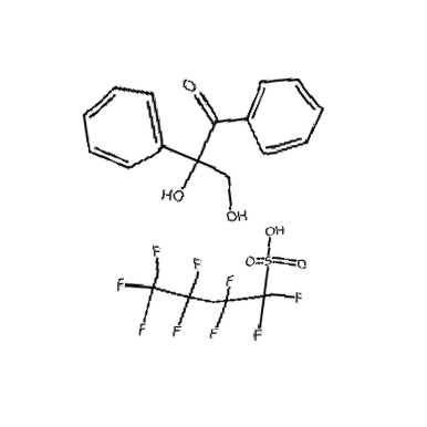 O=C(c1ccccc1)C(O)(CO)c1ccccc1.O=S(=O)(O)C(F)(F)C(F)(F)C(F)(F)C(F)(F)F